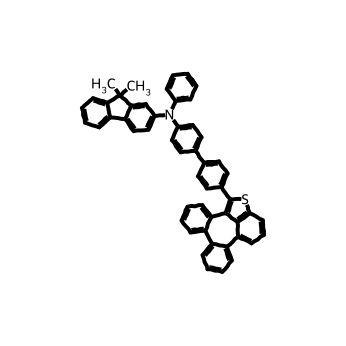 CC1(C)c2ccccc2-c2ccc(N(c3ccccc3)c3ccc(-c4ccc(-c5sc6cccc7c6c5-c5ccccc5-c5ccccc5-7)cc4)cc3)cc21